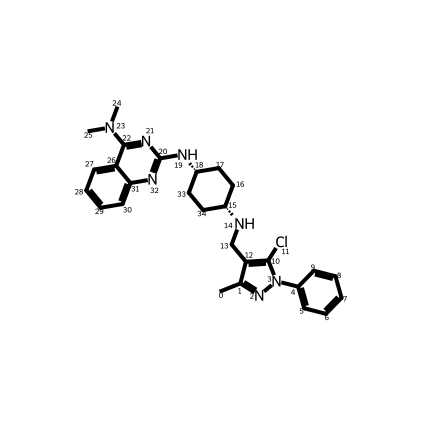 Cc1nn(-c2ccccc2)c(Cl)c1CN[C@H]1CC[C@@H](Nc2nc(N(C)C)c3ccccc3n2)CC1